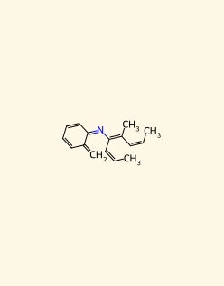 C=C1C=CC=C/C1=N/C(/C=C\C)=C(C)/C=C\C